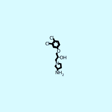 NC1CCN(C[C@@H](O)COc2ccc(Cl)c(Cl)c2)C1